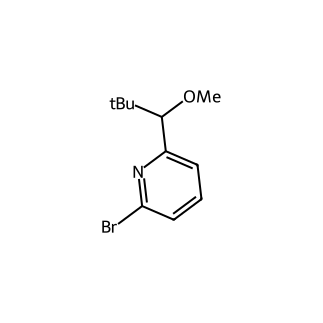 COC(c1cccc(Br)n1)C(C)(C)C